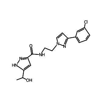 CC(O)c1cc(C(=O)NCCn2ccc(-c3cccc(Cl)c3)n2)n[nH]1